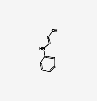 ON=CNc1c[c]ccc1